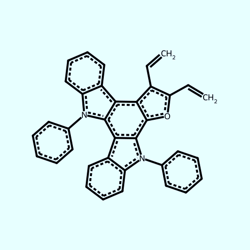 C=Cc1oc2c(c1C=C)c1c3ccccc3n(-c3ccccc3)c1c1c3ccccc3n(-c3ccccc3)c21